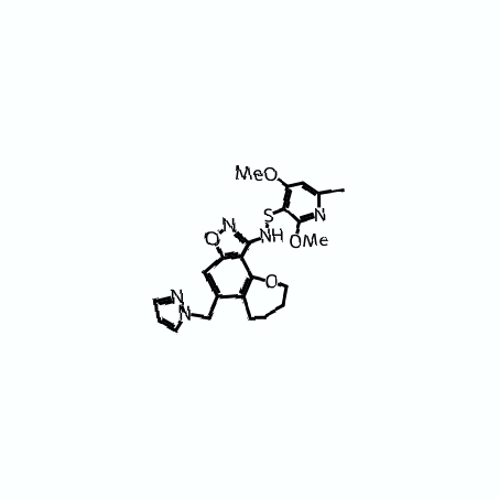 COc1cc(C)nc(OC)c1SNc1noc2cc(Cn3cccn3)c3c(c12)OCCCC3